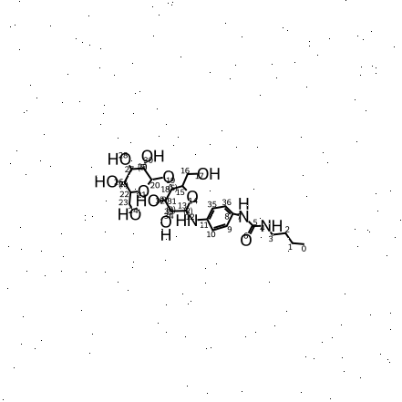 CCCCNC(=O)Nc1ccc(N[C@@H]2OC(CO)[C@@H](OC3OC(CO)[C@H](O)C(O)[C@@H]3O)[C@H](O)[C@H]2O)cc1